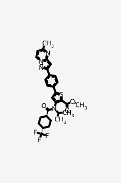 COC(=O)c1sc(-c2ccc(-c3cc4nc(C)ccn4n3)cc2)cc1N(C(=O)[C@H]1CC[C@H](C(F)(F)F)CC1)C(C)C